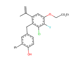 C=C(C)c1cc(OCC(=O)OCC)c(F)c(Cl)c1Cc1ccc(O)c(C(C)C)c1